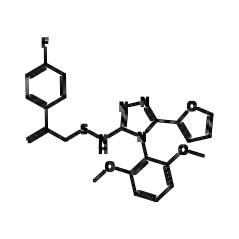 C=C(CSNc1nnc(-c2ccco2)n1-c1c(OC)cccc1OC)c1ccc(F)cc1